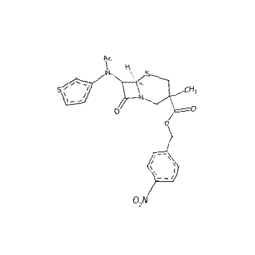 CC(=O)N(c1ccsc1)C1C(=O)N2CC(C)(C(=O)OCc3ccc([N+](=O)[O-])cc3)CS[C@H]12